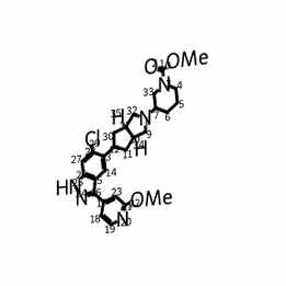 COC(=O)N1CCCC(N2C[C@H]3CC(c4cc5c(-c6ccnc(OC)c6)n[nH]c5cc4Cl)C[C@H]3C2)C1